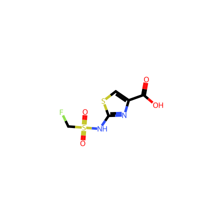 O=C(O)c1csc(NS(=O)(=O)CF)n1